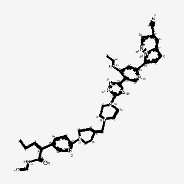 CCCC(C(=O)NC=O)c1ccc(N2CCC(CN3CCN(c4nnc(-c5cnc(-c6ccc7cc(C#N)cnn67)cc5NCC)s4)CC3)CC2)nc1